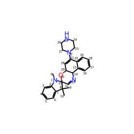 CN1c2ccccc2C(C)(C)C12C=NC1c3ccccc3C(N3CCNCC3)=CC1O2